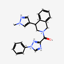 Cn1cc(C2CN(C(=O)c3ncn(-c4ccccc4)n3)Cc3ccccc32)cn1